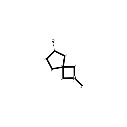 C[C@H]1CCC2(C1)CN(C)C2